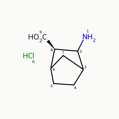 Cl.NC1C2CCC(C2)[C@H]1C(=O)O